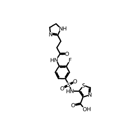 O=C(CCC1=NCCN1)Nc1ccc(S(=O)(=O)Nc2scnc2C(=O)O)cc1F